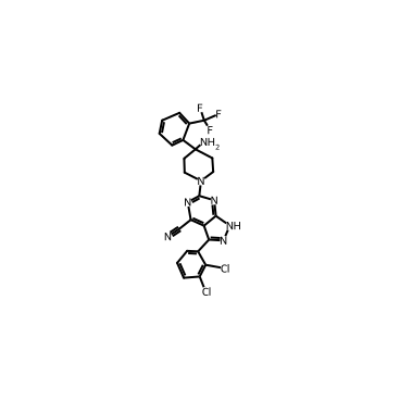 N#Cc1nc(N2CCC(N)(c3ccccc3C(F)(F)F)CC2)nc2[nH]nc(-c3cccc(Cl)c3Cl)c12